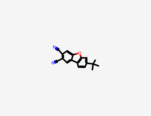 CC(C)(C)c1ccc2c(c1)oc1cc(C#N)c(C#N)cc12